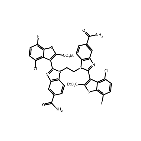 CCOC(=O)c1sc2c(F)ccc(Cl)c2c1-c1nc2cc(C(N)=O)ccc2n1CCn1c(-c2c(C(=O)OCC)sc3c(F)ccc(Cl)c23)nc2cc(C(N)=O)ccc21